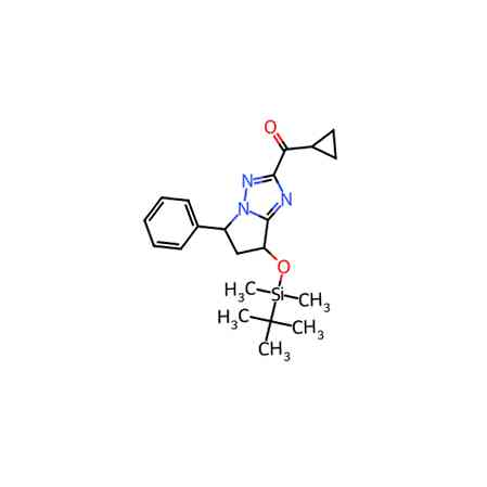 CC(C)(C)[Si](C)(C)OC1CC(c2ccccc2)n2nc(C(=O)C3CC3)nc21